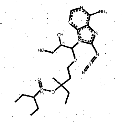 CCC(CC)[PH](=O)OC(C)(CC)CCOC([C@H](O)CO)n1c(N=[N+]=[N-])nc2c(N)ncnc21